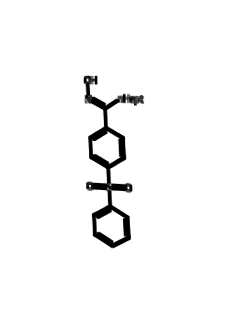 CCCCCCCC(=NO)c1ccc(S(=O)(=O)c2ccccc2)cc1